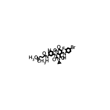 CN(C)CCC(=O)Nc1cccc(-n2c(=O)n(C3CC3)c(=O)c3c(Nc4ccc(Br)cc4F)cc(=O)n(C)c32)c1